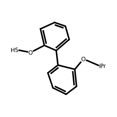 CC(C)Oc1ccccc1-c1ccccc1OS